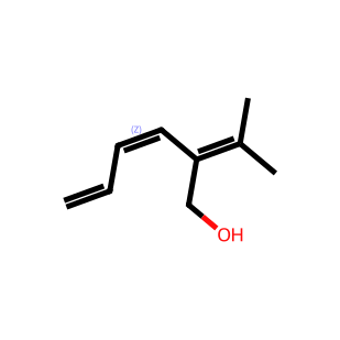 C=C/C=C\C(CO)=C(C)C